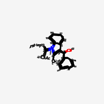 CCCCCCCC(OC(C)=O)n1c(C)c(C(=O)c2ccccc2)c2ccccc21